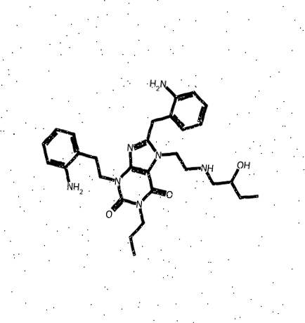 CCCn1c(=O)c2c(nc(Cc3ccccc3N)n2CCNCC(O)CC)n(CCc2ccccc2N)c1=O